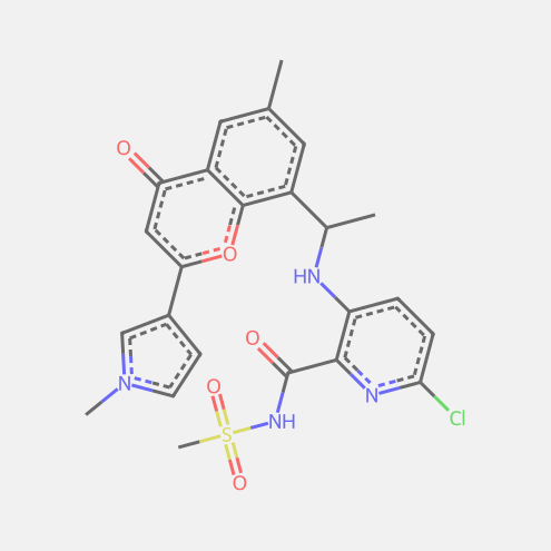 Cc1cc(C(C)Nc2ccc(Cl)nc2C(=O)NS(C)(=O)=O)c2oc(-c3ccn(C)c3)cc(=O)c2c1